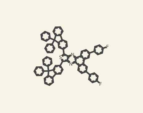 Fc1ccc(-c2ccc3c(c2)c2cc(-c4ccc(F)cc4)ccc2c2nc4c(-c5ccc6c(c5)C(c5ccccc5)(c5ccccc5)c5ccccc5-6)sc(-c5ccc6c(c5)C(c5ccccc5)(c5ccccc5)c5ccccc5-6)c4nc32)cc1